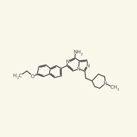 CCOc1ccc2cc(-c3cn4c(CC5CCN(C)CC5)ncc4c(N)n3)ccc2c1